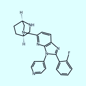 Fc1ccccc1-c1nc2ccc(N3C[C@H]4CC[C@@H]3CN4)nc2n1-c1ccncc1